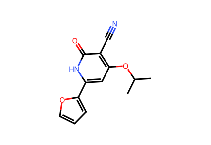 CC(C)Oc1cc(-c2ccco2)[nH]c(=O)c1C#N